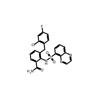 NC(=O)c1cccc(Cc2ccc(F)cc2Cl)c1NS(=O)(=O)c1cccc2nccnc12